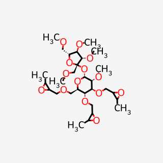 COC[C@H]1O[C@@](COC)(O[C@H]2O[C@H](COCC3OC3C)[C@@H](OCC3OC3C)[C@H](OCC3OC3C)[C@H]2OC)[C@@H](OC)[C@@H]1OC